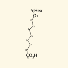 CCCCCCOCCCCCCCC(=O)O